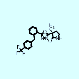 C[C@@]1(c2nnc(-c3ccccc3Cc3ccc(C(F)(F)F)cc3)o2)CCNC1=O